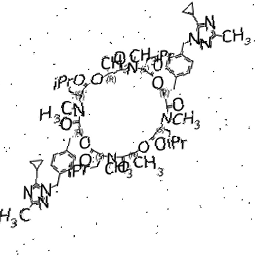 Cc1nc(C2CC2)n(Cc2ccc(C[C@H]3OC(=O)[C@H](CC(C)C)N(C)C(=O)[C@@H](C)OC(=O)[C@H](CC(C)C)N(C)C(=O)[C@@H](Cc4ccc(Cn5nc(C)nc5C5CC5)cc4)OC(=O)[C@H](CC(C)C)N(C)C(=O)[C@@H](C)OC(=O)[C@H](CC(C)C)N(C)C3=O)cc2)n1